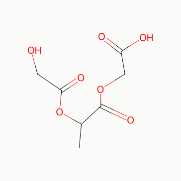 CC(OC(=O)CO)C(=O)OCC(=O)O